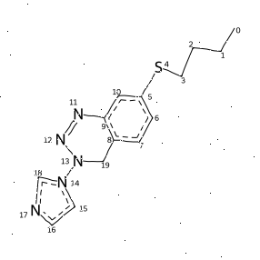 CCCCSc1ccc2c(c1)N=NN(n1ccnc1)C2